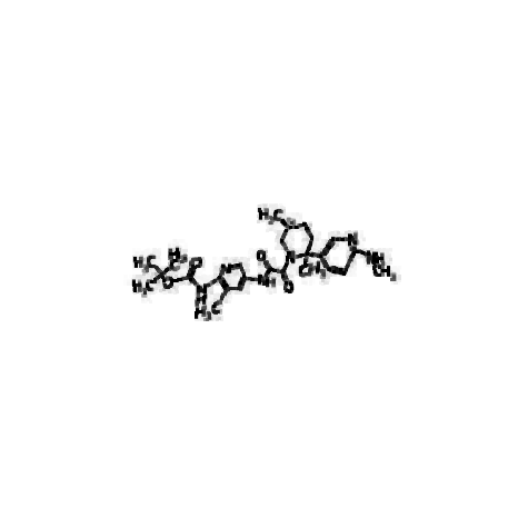 CNc1ccc(C2(C)CC[C@H](C)CN2C(=O)C(=O)Nc2cnc(NC(=O)OC(C)(C)C)c(C)c2)cn1